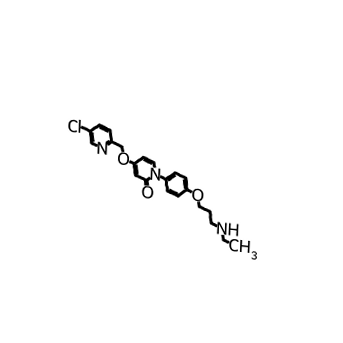 CCNCCCOc1ccc(-n2ccc(OCc3ccc(Cl)cn3)cc2=O)cc1